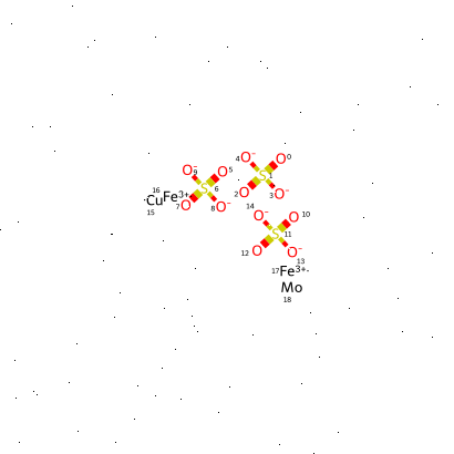 O=S(=O)([O-])[O-].O=S(=O)([O-])[O-].O=S(=O)([O-])[O-].[Cu].[Fe+3].[Fe+3].[Mo]